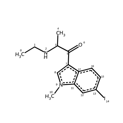 CCNC(C)C(=O)c1cn(C)c2cc(I)ccc12